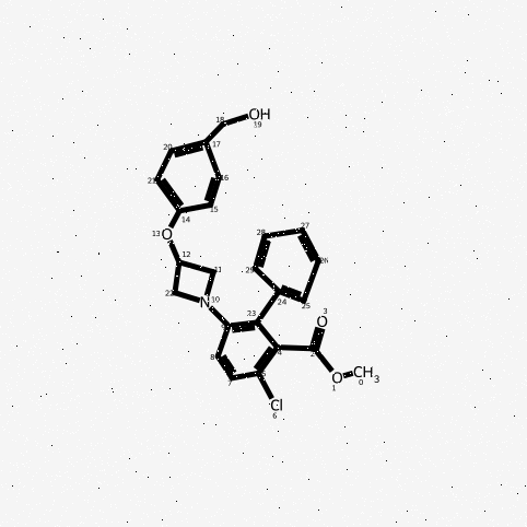 COC(=O)c1c(Cl)ccc(N2CC(Oc3ccc(CO)cc3)C2)c1-c1ccccc1